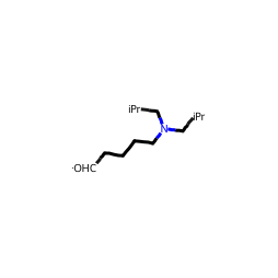 CC(C)CN(CCCC[C]=O)CC(C)C